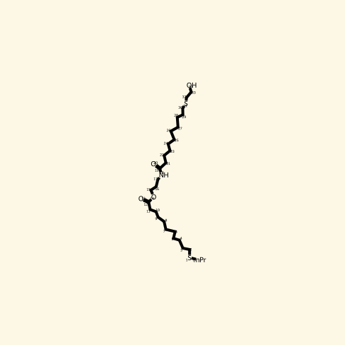 CCCSCCCCCCCCCCC(=O)OCCCNC(=O)CCCCCCCCCCSCCO